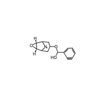 CN1C2CC(OC(O)c3c#cccc3)CC1[C@@H]1O[C@H]21